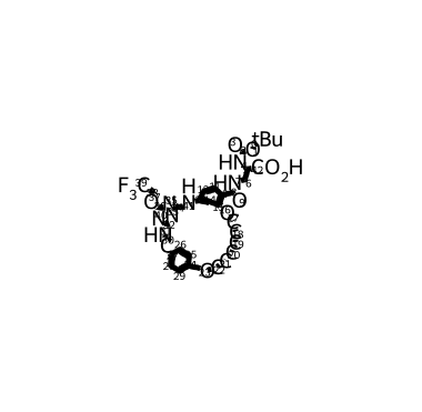 CC(C)(C)OC(=O)NC(CNC(=O)c1ccc2cc1OCCCCCCOc1ccc(cc1)CNc1nc(nc(OCC(F)(F)F)n1)N2)C(=O)O